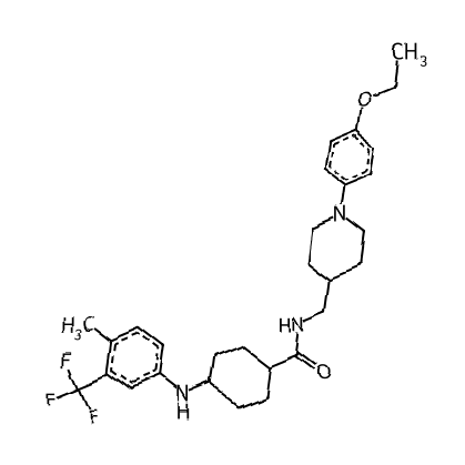 CCOc1ccc(N2CCC(CNC(=O)C3CCC(Nc4ccc(C)c(C(F)(F)F)c4)CC3)CC2)cc1